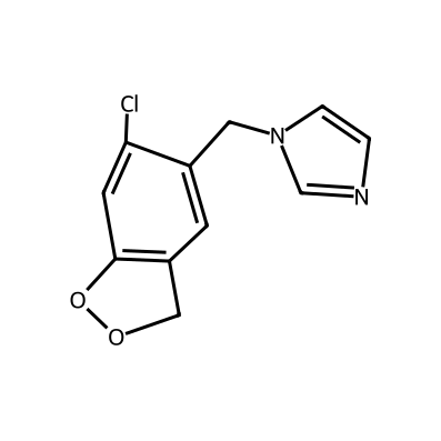 Clc1cc2c(cc1Cn1ccnc1)COO2